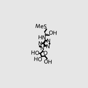 CSCC[C@@H](CO)Nc1ncnc2c1ncn2C1OC(CO)C(O)C1O